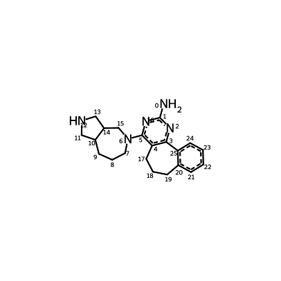 Nc1nc2c(c(N3CCCC4CNCC4C3)n1)CCCc1ccccc1-2